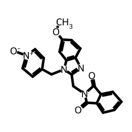 COc1ccc2nc(CN3C(=O)c4ccccc4C3=O)n(Cc3cc[n+]([O-])cc3)c2c1